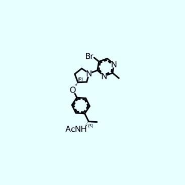 CC(=O)N[C@@H](C)c1ccc(O[C@@H]2CCN(c3nc(C)ncc3Br)C2)cc1